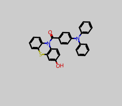 O=C(c1ccc(N(c2ccccc2)c2ccccc2)cc1)N1c2ccccc2Sc2cc(O)ccc21